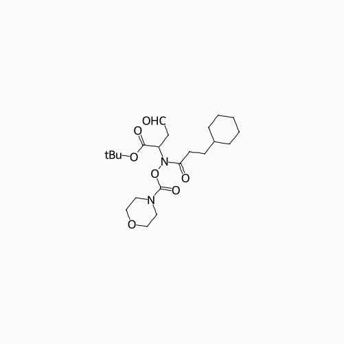 CC(C)(C)OC(=O)C(CC=O)N(OC(=O)N1CCOCC1)C(=O)CCC1CCCCC1